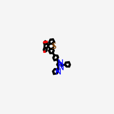 c1ccc(-c2nc(-c3ccc(-c4ccc5c(c4)Sc4ccccc4C54c5ccccc5-c5ccccc54)cc3)cc(-c3ccccn3)n2)cc1